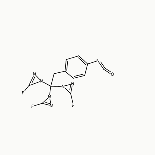 O=C=Nc1ccc(CC(N2N=C2F)(N2N=C2F)N2N=C2F)cc1